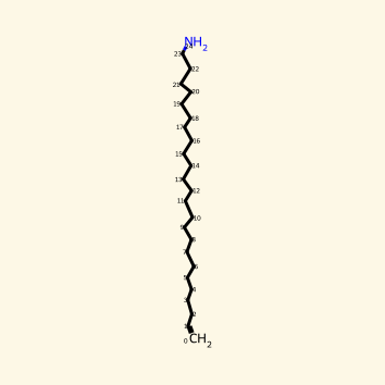 C=CCCCCCCCCCCCCCCCCCCCCCCN